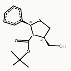 CC(C)(C)OC(=O)N1[C@H](CO)CS[C@@H]1c1ccccc1